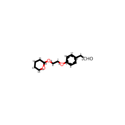 O=CCc1ccc(OCCOC2CCCCO2)cc1